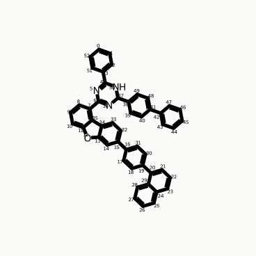 c1ccc(C2=NC(c3cccc4oc5cc(-c6ccc(-c7cccc8ccccc78)cc6)ccc5c34)=NC(c3ccc(-c4ccccc4)cc3)N2)cc1